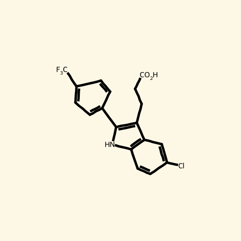 O=C(O)CCc1c(-c2ccc(C(F)(F)F)cc2)[nH]c2ccc(Cl)cc12